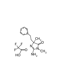 CN1C(=O)C(C)(CCc2ccccc2)N=C1N.O=C(O)C(F)(F)F